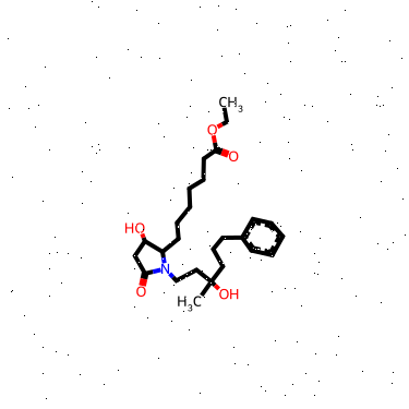 CCOC(=O)CCCCCCC1C(O)CC(=O)N1CCC(C)(O)CCCc1ccccc1